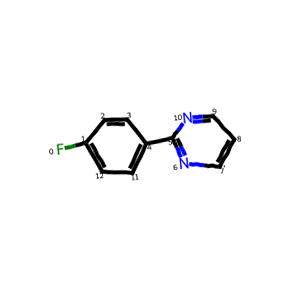 Fc1ccc(-c2n[c]ccn2)cc1